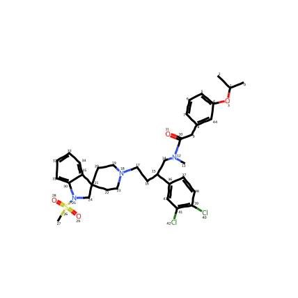 CC(C)Oc1cccc(CC(=O)N(C)CC(CCN2CCC3(CC2)CN(S(C)(=O)=O)c2ccccc23)c2ccc(Cl)c(Cl)c2)c1